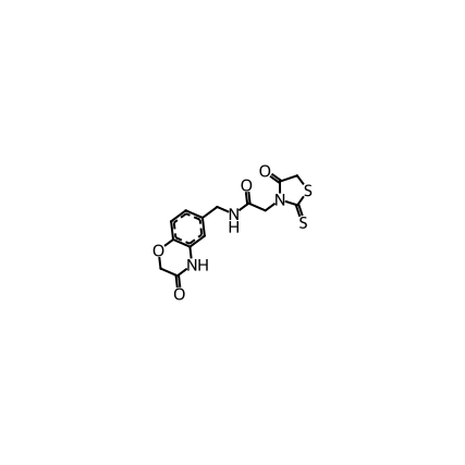 O=C(CN1C(=O)CSC1=S)NCc1ccc2c(c1)NC(=O)CO2